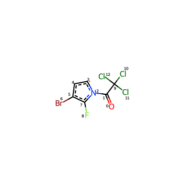 O=C(n1[c]cc(Br)c1F)C(Cl)(Cl)Cl